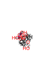 OCCOC(c1ccccc1)(c1ccccc1)C(O)(c1ccccc1)c1ccccc1.OP(O)OP(O)O